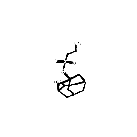 CCCS(=O)(=O)OC12CC3CC(C1)C(C)C(C3)C2